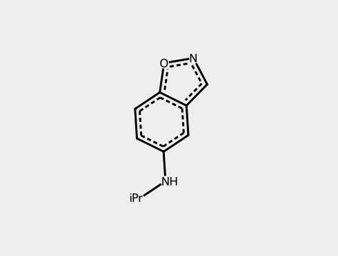 CC(C)Nc1ccc2oncc2c1